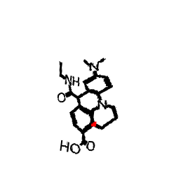 CCNC(=O)C(c1ccc(C(=O)O)cc1)c1cc(N(C)C)ccc1N1CCCCC1